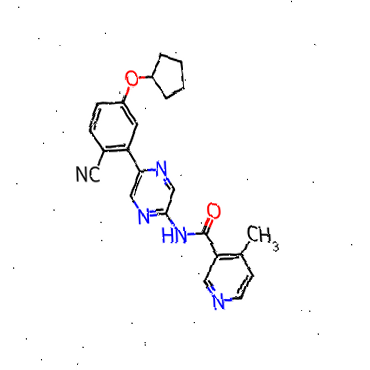 Cc1ccncc1C(=O)Nc1cnc(-c2cc(OC3CCCC3)ccc2C#N)cn1